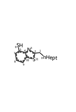 CCCCCCCCc1nc2c(S)cccc2s1